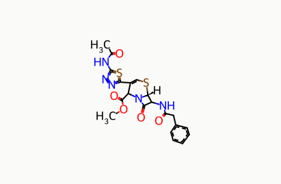 COC(=O)C1C(c2nnc(NC(C)=O)s2)=CS[C@@H]2C(NC(=O)Cc3ccccc3)C(=O)N12